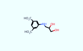 O=C(O)c1cc(NCC(O)CO)cc(C(=O)O)c1